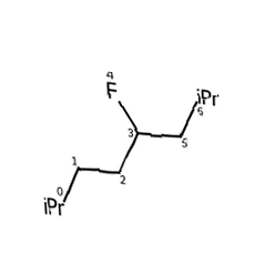 CC(C)CCC(F)CC(C)C